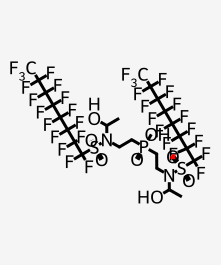 CC(O)N(CCP(=O)(O)CCN(C(C)O)S(=O)(=O)C(F)(F)C(F)(F)C(F)(F)C(F)(F)C(F)(F)C(F)(F)C(F)(F)C(F)(F)F)S(=O)(=O)C(F)(F)C(F)(F)C(F)(F)C(F)(F)C(F)(F)C(F)(F)C(F)(F)C(F)(F)F